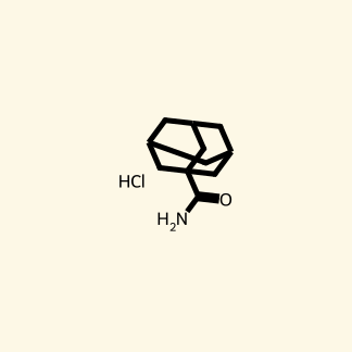 Cl.NC(=O)C12CC3CC(CC(C3)C1)C2